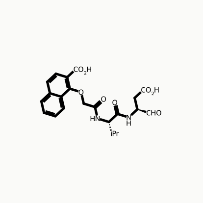 CC(C)[C@H](NC(=O)COc1c(C(=O)O)ccc2ccccc12)C(=O)N[C@H](C=O)CC(=O)O